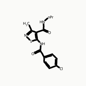 CCCNC(=O)c1c(C)nsc1NC(=O)c1ccc(Cl)cc1